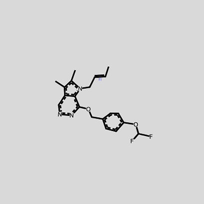 C/C=C/Cn1c(C)c(C)c2cnnc(OCc3ccc(OC(F)F)cc3)c21